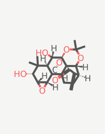 C=C1C(=O)[C@@]23[C@@H]4OC(C)(C)O[C@]25OC[C@]2([C@@H]6O[C@@H]6[C@H](O)C(C)(C)[C@H]2[C@@H]5O)[C@@H]3CC[C@@H]14